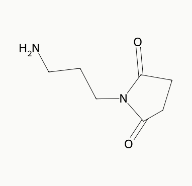 NCCCN1C(=O)CCC1=O